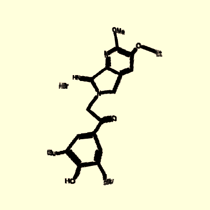 Br.CCOc1cc2c(nc1OC)C(=N)N(CC(=O)c1cc(C(C)(C)C)c(O)c(C(C)(C)C)c1)C2